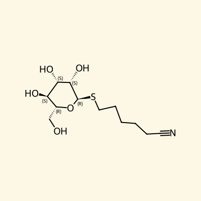 N#CCCCCCS[C@H]1O[C@H](CO)[C@@H](O)[C@H](O)[C@@H]1O